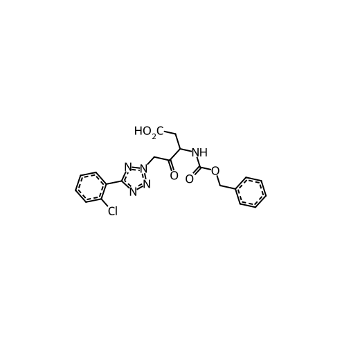 O=C(O)CC(NC(=O)OCc1ccccc1)C(=O)Cn1nnc(-c2ccccc2Cl)n1